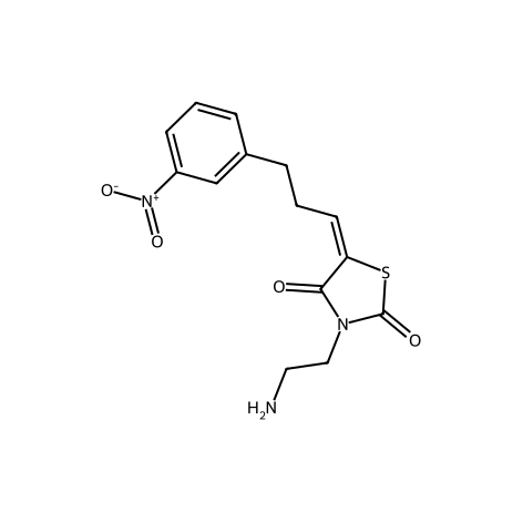 NCCN1C(=O)SC(=CCCc2cccc([N+](=O)[O-])c2)C1=O